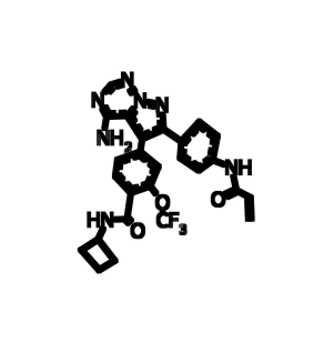 C=CC(=O)Nc1ccc(-c2nn3ncnc(N)c3c2-c2ccc(C(=O)NC3CCC3)c(OC(F)(F)F)c2)cc1